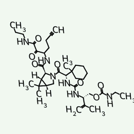 C#CCCC(NC(=O)[C@@H]1[C@@H]2[C@H](CN1C(=O)[C@@H](NC(=O)N[C@H](COC(=O)NCC)C(=C)C)C1(C)CCCCC1)C2(C)C)C(=O)C(=O)NCCC